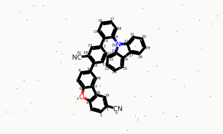 N#Cc1ccc2oc3ccc(-c4ccc(-c5ccccc5-n5c6ccccc6c6ccccc65)cc4C#N)cc3c2c1